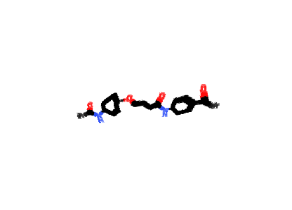 CC(C)C(=O)N[C@H]1CC[C@H](OCCCC(=O)N[C@H]2CC[C@H](C(=O)C(C)C)CC2)CC1